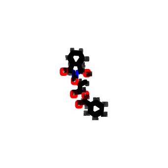 CC(ON1C(=O)c2ccccc2C1=O)C(=O)OC(=O)c1ccccc1